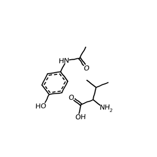 CC(=O)Nc1ccc(O)cc1.CC(C)C(N)C(=O)O